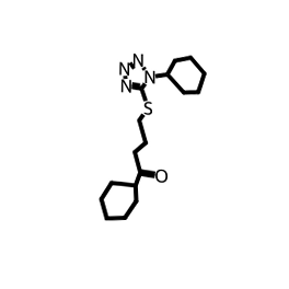 O=C(CCCSc1nnnn1C1CCCCC1)C1CCCCC1